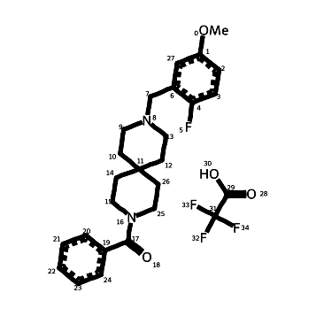 COc1ccc(F)c(CN2CCC3(CC2)CCN(C(=O)c2ccccc2)CC3)c1.O=C(O)C(F)(F)F